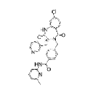 Cc1cccc(NC(=O)c2ccc(CN3C(=O)c4ccc(Cl)cc4NC(=O)[C@H]3Cc3cccnc3)cc2)n1